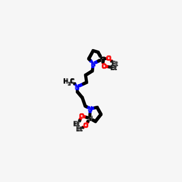 CCO[Si]1(OCC)CCCN1CCCN(C)CCCN1CCC[Si]1(OCC)OCC